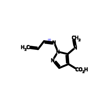 C=C/C=N\n1ncc(C(=O)O)c1N=C